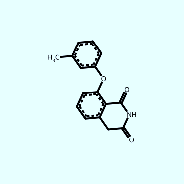 Cc1cccc(Oc2cccc3c2C(=O)NC(=O)C3)c1